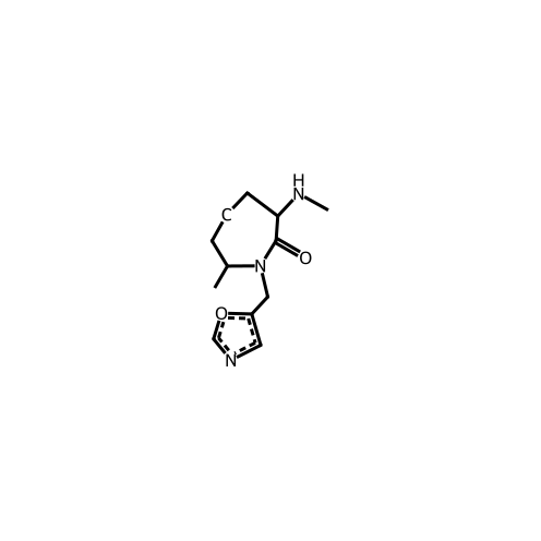 CNC1CCCC(C)N(Cc2cnco2)C1=O